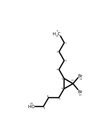 CCCCCC1C(CCCO)C1(Br)Br